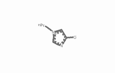 CCCn1cnc(Cl)c1